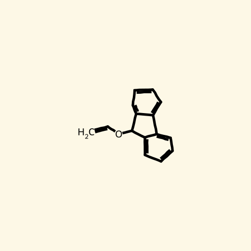 C=COC1c2ccccc2-c2ccccc21